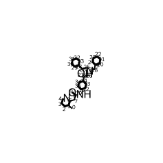 Cc1cccnc1CC(=O)Nc1ccc(CCN(Cc2ccccc2)C[C@H](O)c2ccccc2)cc1